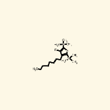 CCCCCCCCc1c([Si](C)(C)C)sc([Si](C)(C)C)c1F